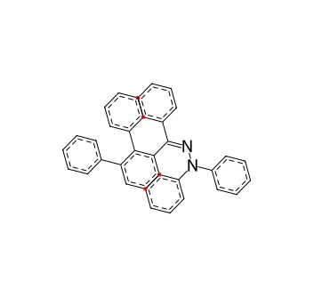 c1ccc(C(=NN(c2ccccc2)c2ccccc2)c2cccc(-c3ccccc3)c2-c2ccccc2)cc1